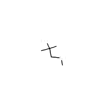 [CH2]C(C)(O)CNC